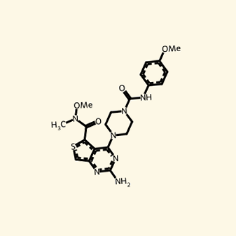 COc1ccc(NC(=O)N2CCN(c3nc(N)nc4csc(C(=O)N(C)OC)c34)CC2)cc1